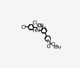 CC(Nc1cc(C2=CCN(C(=O)OC(C)(C)C)CC2)ccc1Cl)c1ccc(Cl)cc1Cl